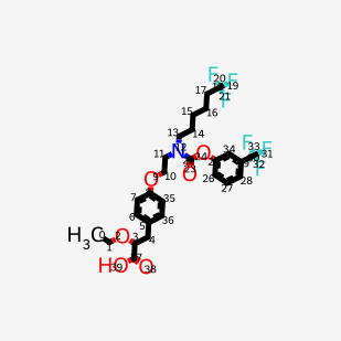 CCOC(Cc1ccc(OCCN(CCCCCC(F)(F)F)C(=O)Oc2cccc(C(F)(F)F)c2)cc1)C(=O)O